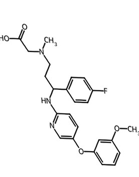 COc1cccc(Oc2ccc(NC(CCN(C)CC(=O)O)c3ccc(F)cc3)nc2)c1